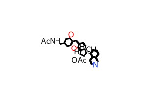 CC(=O)NCC1CC(=O)C2=C(C1)O[C@@H]1C(=C2)C=C[C@]2(C)[C@@H](c3cccc4cnccc34)C(OC(C)=O)C[C@@H]12